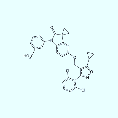 O=C(O)c1cccc(N2C(=O)C3(CC3)c3cc(OCc4c(-c5c(Cl)cccc5Cl)noc4C4CC4)ccc32)c1